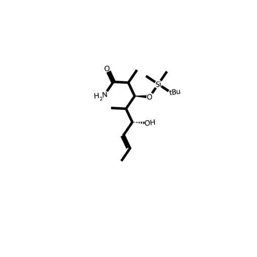 CC=C[C@@H](O)C(C)[C@H](O[Si](C)(C)C(C)(C)C)C(C)C(N)=O